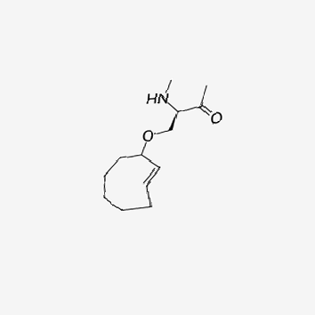 CN[C@H](COC1/C=C/CCCCC1)C(C)=O